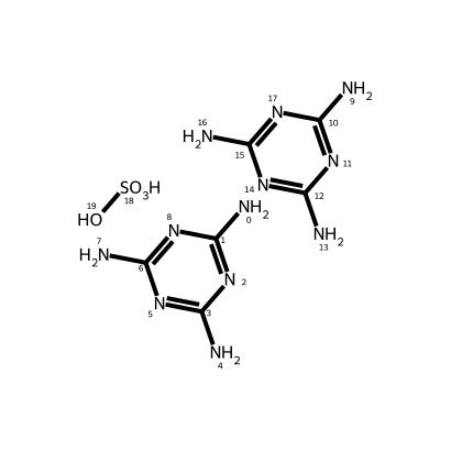 Nc1nc(N)nc(N)n1.Nc1nc(N)nc(N)n1.O=S(=O)(O)O